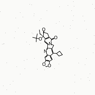 CC[C@@]1(OC(C)(C)C)C(=O)Cc2c1cc1n(c2=O)Cc2c-1nc1cc3c(cc1c2C1CCC1)OCO3